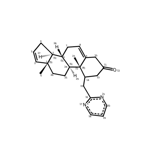 C[C@@]12C=CC[C@H]1[C@@H]1CC=C3CC(=O)CC(Cc4ncccn4)[C@]3(C)[C@H]1CC2